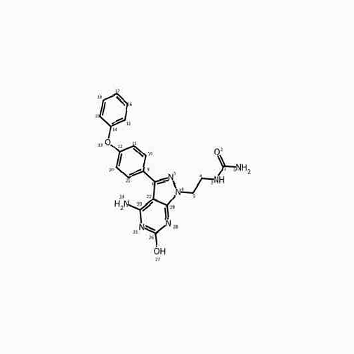 NC(=O)NCCn1nc(-c2ccc(Oc3ccccc3)cc2)c2c(N)nc(O)nc21